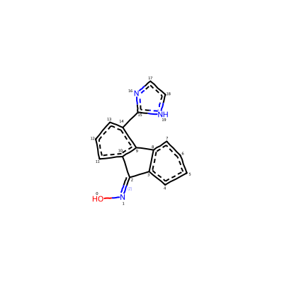 O/N=C1/c2ccccc2-c2c1cccc2-c1ncc[nH]1